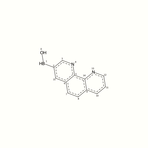 OBc1cnc2c(ccc3cccnc32)c1